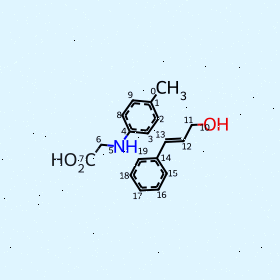 Cc1ccc(NCC(=O)O)cc1.OCC=Cc1ccccc1